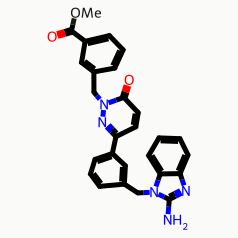 COC(=O)c1cccc(Cn2nc(-c3cccc(Cn4c(N)nc5ccccc54)c3)ccc2=O)c1